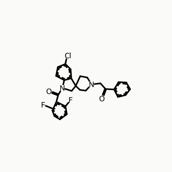 O=C(CN1CCC2(CC1)CN(C(=O)c1c(F)cccc1F)c1ccc(Cl)cc12)c1ccccc1